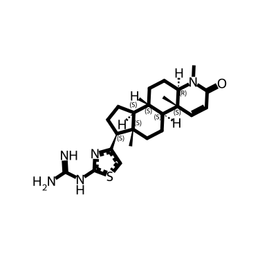 CN1C(=O)C=C[C@]2(C)[C@H]3CC[C@]4(C)[C@@H](c5csc(NC(=N)N)n5)CC[C@H]4[C@@H]3CC[C@@H]12